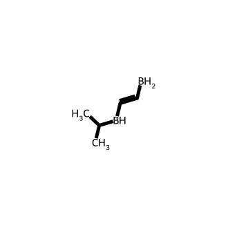 B/C=C/BC(C)C